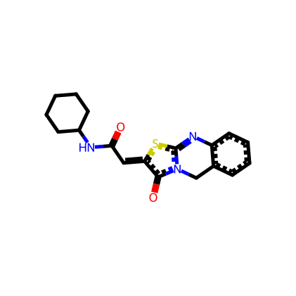 O=C(C=c1sc2n(c1=O)Cc1ccccc1N=2)NC1CCCCC1